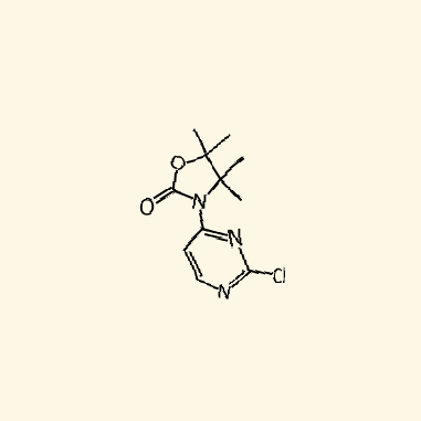 CC1(C)OC(=O)N(c2ccnc(Cl)n2)C1(C)C